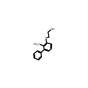 O=C(O)c1c(OCCO)cccc1-c1ccccc1